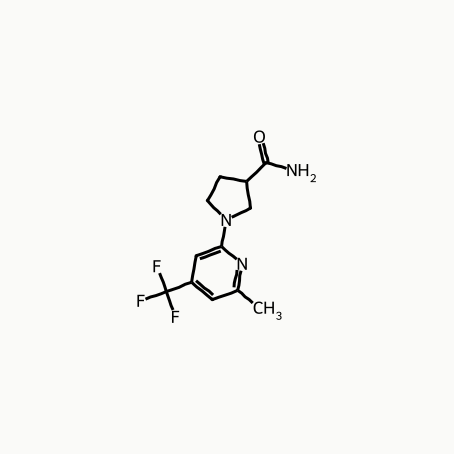 Cc1cc(C(F)(F)F)cc(N2CCC(C(N)=O)C2)n1